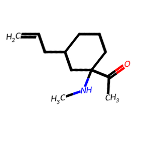 C=CCC1CCCC(NC)(C(C)=O)C1